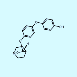 Oc1ccc(Oc2ccc(O[C@H]3CN4CCC3CC4)cc2)cc1